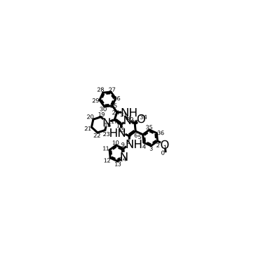 COc1ccc(C2=C(Nc3ccccn3)NC3=C(N4CCCCC4)C(c4ccccc4)NN3C2=O)cc1